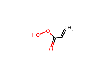 C=CC(=O)OO